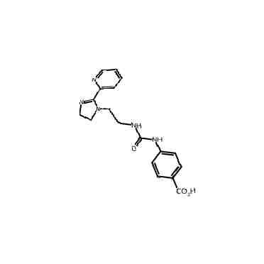 O=C(NCCN1CCN=C1c1ccccn1)Nc1ccc(C(=O)O)cc1